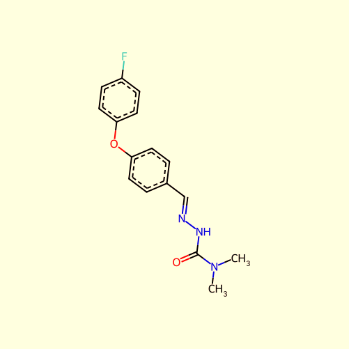 CN(C)C(=O)NN=Cc1ccc(Oc2ccc(F)cc2)cc1